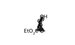 C=CCC(CCCOC(=O)C(CCCOC(=O)CCC(=O)CCO)CC1CO1)C(=O)OCCCCC(=O)OCC